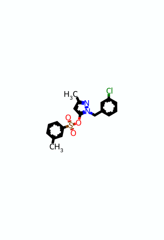 Cc1cccc(S(=O)(=O)Oc2cc(C)nn2Cc2cccc(Cl)c2)c1